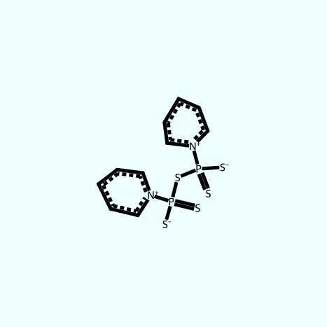 S=P([S-])(SP(=S)([S-])[n+]1ccccc1)[n+]1ccccc1